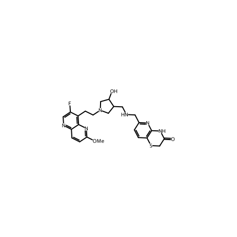 COc1ccc2ncc(F)c(CCN3CC(O)C(CNCc4ccc5c(n4)NC(=O)CS5)C3)c2n1